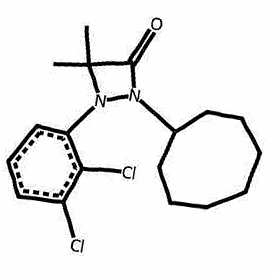 CC1(C)C(=O)N(C2CCCCCCC2)N1c1cccc(Cl)c1Cl